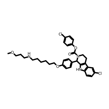 COCCCNCCCCCCOc1ccc(C2c3[nH]c4ccc(Cl)cc4c3CCN2C(=O)Oc2ccc(Cl)cc2)cc1